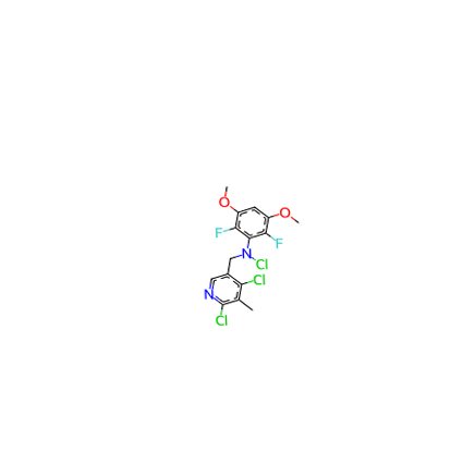 COc1cc(OC)c(F)c(N(Cl)Cc2cnc(Cl)c(C)c2Cl)c1F